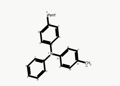 CCCC(C)c1ccc(N(c2ccccc2)c2ccc(C)cc2)cc1